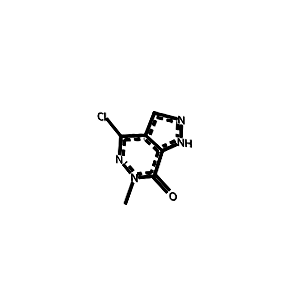 Cn1nc(Cl)c2cn[nH]c2c1=O